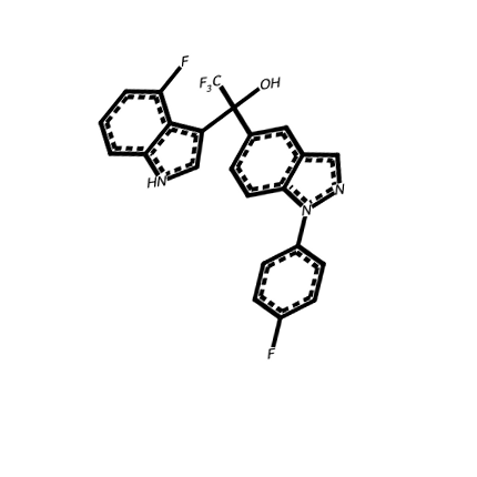 OC(c1ccc2c(cnn2-c2ccc(F)cc2)c1)(c1c[nH]c2cccc(F)c12)C(F)(F)F